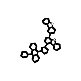 c1ccc(-c2c3ccccc3c(-c3cccc(-c4ccc(-c5ccc6oc7ccccc7c6c5)c5oc6ccccc6c45)c3)c3ccccc23)cc1